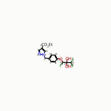 CCOC(=O)c1cnn(Cc2ccc(OC(F)C(O)(O)C(F)F)cc2)c1